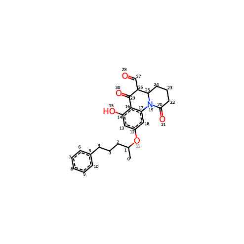 CC(CCCc1ccccc1)Oc1cc(O)c2c(c1)N1C(=O)CCCC1C(C=O)C2=O